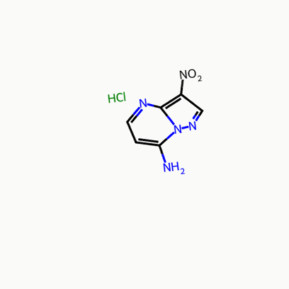 Cl.Nc1ccnc2c([N+](=O)[O-])cnn12